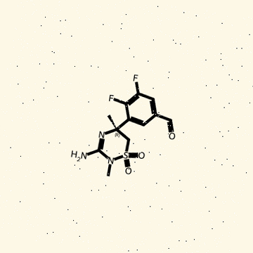 CN1C(N)=N[C@](C)(c2cc(C=O)cc(F)c2F)CS1(=O)=O